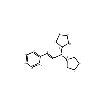 C(=CP(N1CCCC1)N1CCCC1)c1ccccn1